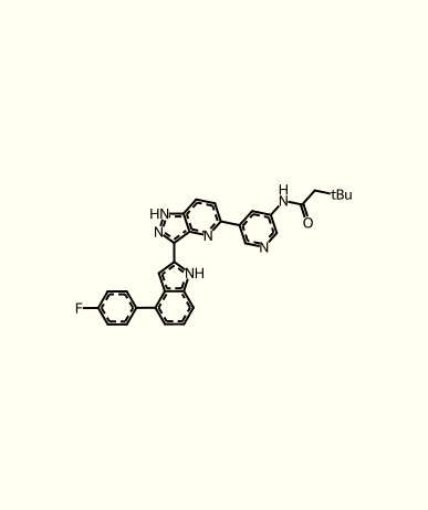 CC(C)(C)CC(=O)Nc1cncc(-c2ccc3[nH]nc(-c4cc5c(-c6ccc(F)cc6)cccc5[nH]4)c3n2)c1